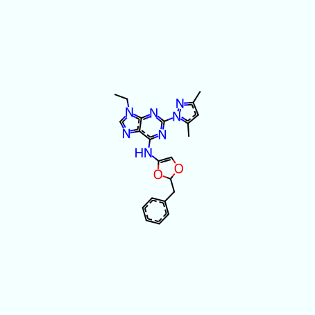 CCn1cnc2c(NC3=COC(Cc4ccccc4)O3)nc(-n3nc(C)cc3C)nc21